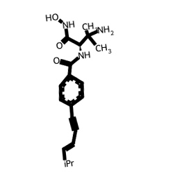 CC(C)/C=C/C#Cc1ccc(C(=O)N[C@H](C(=O)NO)C(C)(C)N)cc1